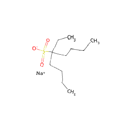 CCCCC(CC)(CCCC)S(=O)(=O)[O-].[Na+]